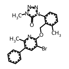 Cc1cccc(-n2nnn(C)c2=O)c1COc1nc(C)c(-c2ccccc2)cc1Br